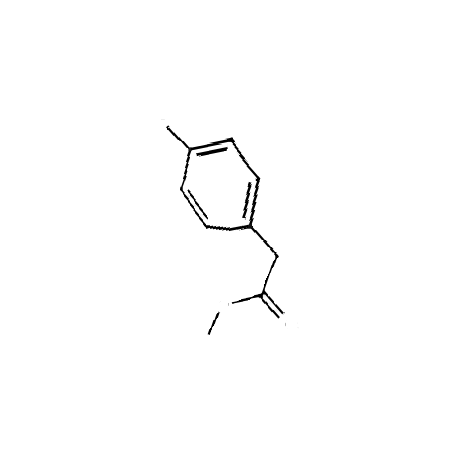 O=C(Cc1ccc(F)cc1)OF